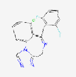 Fc1cccc(F)c1C1=NCc2nncn2-c2cccc(Cl)c21